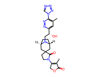 CC1=C(N2CCC3(C[C@H]4CC[C@H](C3)N4C[C@@H](O)c3cc(C)c(-n4cnnn4)nn3)C2=O)COC1=O